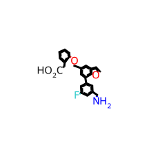 NCc1cc(F)cc(-c2cc(COc3ccccc3CC(=O)O)cc3ccoc23)c1